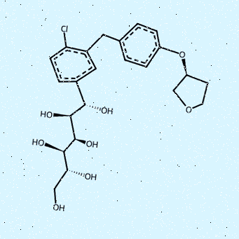 OC[C@@H](O)[C@@H](O)[C@H](O)[C@@H](O)[C@@H](O)c1ccc(Cl)c(Cc2ccc(O[C@H]3CCOC3)cc2)c1